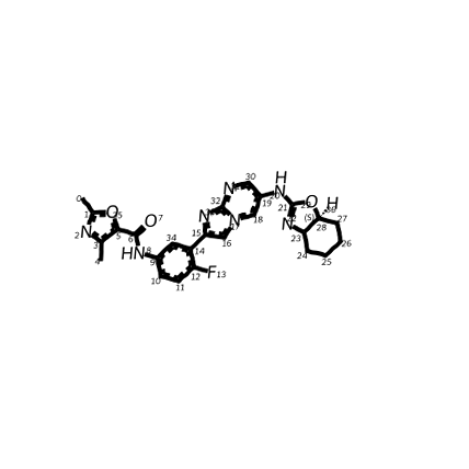 Cc1nc(C)c(C(=O)Nc2ccc(F)c(-c3cn4cc(NC5=NC6CCCC[C@@H]6O5)cnc4n3)c2)o1